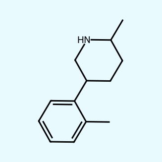 Cc1ccccc1C1CCC(C)NC1